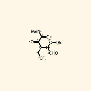 CNC(=O)C(=O)[C@H](CC(F)(F)F)N(C=O)OC(C)(C)C